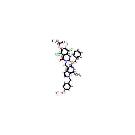 COc1ccc(Cn2ccc3c(CN4CCc5c(Cl)cc(OC(C)C)c(Cl)c5C4=O)c(OCc4ccccc4)nc(C)c32)cc1